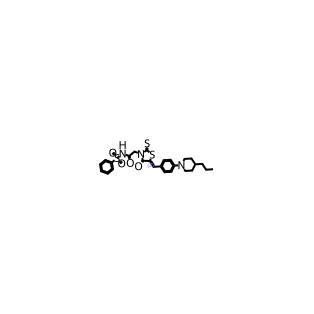 CCCC1CCN(c2ccc(/C=C3\SC(=S)N(CC(=O)NS(=O)(=O)c4ccccc4)C3=O)cc2)CC1